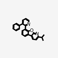 CC(C)c1ccc2c(n1)oc1c(-c3ncccc3-c3ccccc3)cccc12